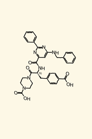 O=C(O)c1ccc(C[C@H](NC(=O)c2cc(NCc3ccccc3)nc(-c3ccccc3)n2)C(=O)N2CCN(C(=O)O)CC2)cc1